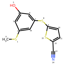 CSc1cc(O)cc(Sc2ccc(C#N)s2)c1